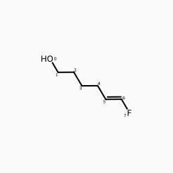 OCCCCC=CF